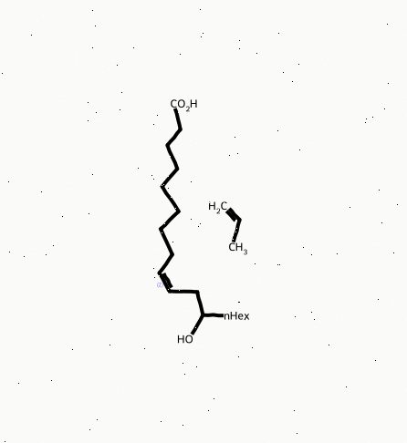 C=CC.CCCCCCC(O)C/C=C\CCCCCCCC(=O)O